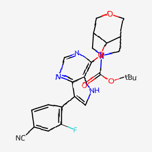 CC(C)(C)OC(=O)N1CC2COCC(C1)C2Oc1ncnc2c(-c3ccc(C#N)cc3F)c[nH]c12